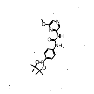 COc1cncc(NC(=O)Nc2ccc(B3OC(C)(C)C(C)(C)O3)cc2)n1